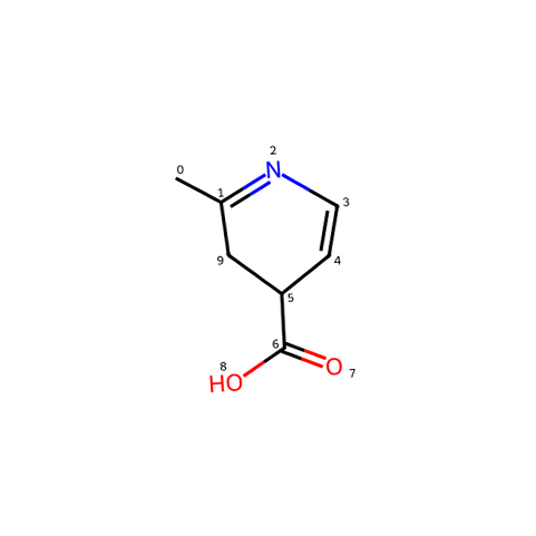 CC1=NC=CC(C(=O)O)C1